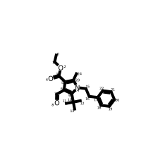 CCOC(=O)c1c(C=O)c(C(C)(C)C)n(CCc2ccccc2)c1C